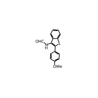 COc1ccc(-c2sc3ccccc3c2NC=O)cc1